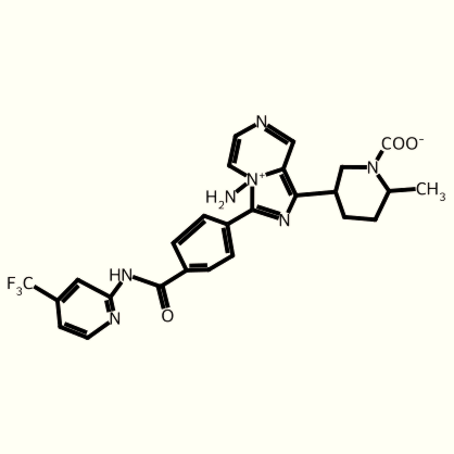 CC1CCC(C2=C3C=NC=C[N+]3(N)C(c3ccc(C(=O)Nc4cc(C(F)(F)F)ccn4)cc3)=N2)CN1C(=O)[O-]